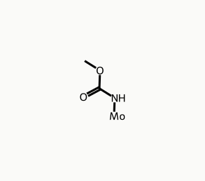 COC(=O)[NH][Mo]